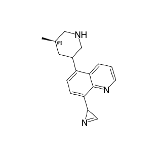 C[C@H]1CNCC(c2ccc(C3C=N3)c3ncccc23)C1